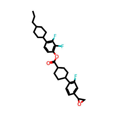 CCCC1CCC(c2ccc(OC(=O)C3CCC(c4ccc(C5CO5)cc4F)CC3)c(F)c2F)CC1